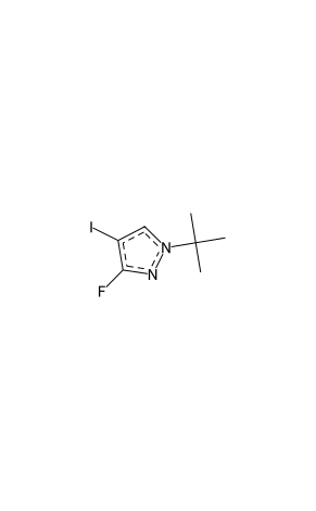 CC(C)(C)n1cc(I)c(F)n1